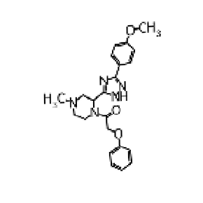 COc1ccc(-c2n[nH]c(C3CN(C)CCN3C(=O)COc3ccccc3)n2)cc1